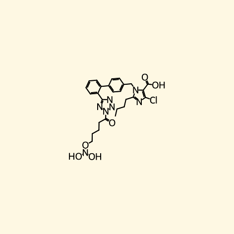 CCCCc1nc(Cl)c(C(=O)O)n1Cc1ccc(-c2ccccc2-c2nnn(C(=O)CCCCON(O)O)n2)cc1